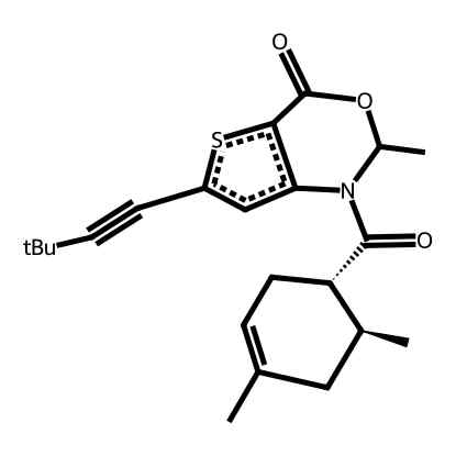 CC1=CC[C@H](C(=O)N2c3cc(C#CC(C)(C)C)sc3C(=O)OC2C)[C@@H](C)C1